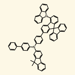 CC1(C)c2ccccc2-c2ccc(N(c3ccc(-c4ccccc4)cc3)c3ccc(-c4ccc5c(c4)C4(c6ccccc6-c6ccccc64)c4cccc(-n6c7ccccc7c7ccccc76)c4-5)cc3)cc21